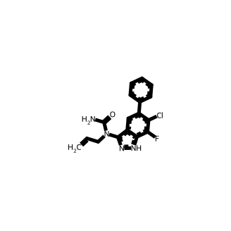 C=CCN(C(N)=O)c1n[nH]c2c(F)c(Cl)c(-c3ccccc3)cc12